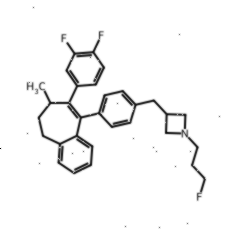 CC1CCc2ccccc2C(c2ccc(CC3CN(CCCF)C3)cc2)=C1c1ccc(F)c(F)c1